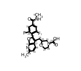 CNC(=O)c1cc(F)c(-c2oc3nc(C)ccc3c2CC2CN(C(=O)O)CCO2)c(F)c1